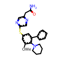 COc1cc(Sc2cnc(CC(N)=O)cn2)cc(-c2ccccc2)c1N1CCCCC1